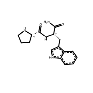 NC(=O)[C@H](Cc1c[nH]c2ccccc12)NC(=O)[C@@H]1CCCN1